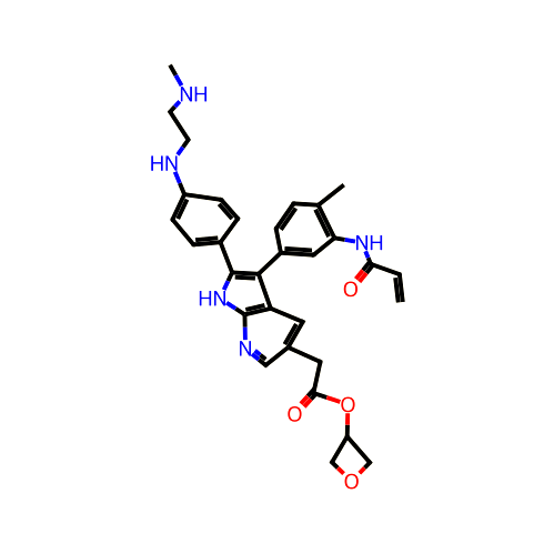 C=CC(=O)Nc1cc(-c2c(-c3ccc(NCCNC)cc3)[nH]c3ncc(CC(=O)OC4COC4)cc23)ccc1C